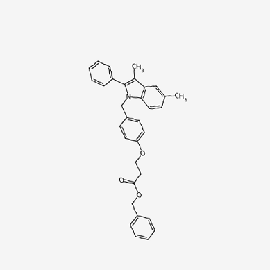 Cc1ccc2c(c1)c(C)c(-c1ccccc1)n2Cc1ccc(OCCC(=O)OCc2ccccc2)cc1